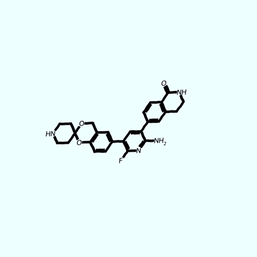 Nc1nc(F)c(-c2ccc3c(c2)COC2(CCNCC2)O3)cc1-c1ccc2c(c1)CCNC2=O